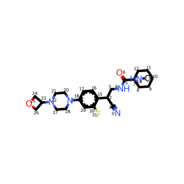 N#CC(CNC(=O)C12CCC(CC1)CN2)c1ccc(N2CCN(C3COC3)CC2)cc1F